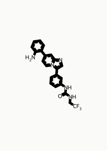 Nc1ccccc1-c1ccn2c(-c3cccc(NC(=O)NCC(F)(F)F)c3)cnc2c1